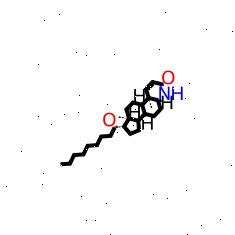 CCCCCCCCC(=O)[C@H]1CC[C@H]2[C@@H]3CC[C@H]4NC(=O)C=C[C@]4(C)[C@H]3CC[C@]12C